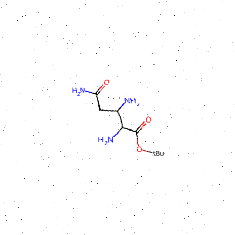 CC(C)(C)OC(=O)C(N)C(N)CC(N)=O